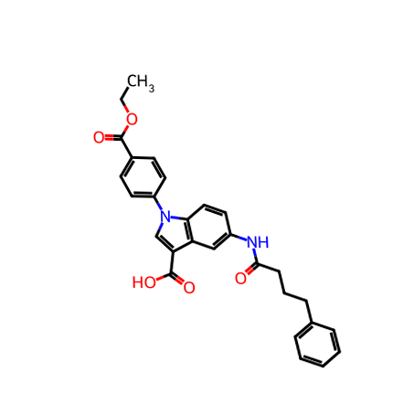 CCOC(=O)c1ccc(-n2cc(C(=O)O)c3cc(NC(=O)CCCc4ccccc4)ccc32)cc1